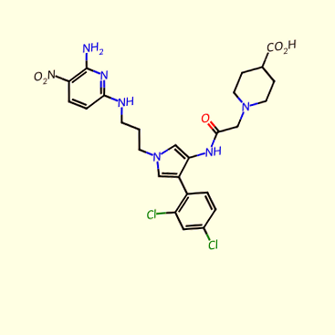 Nc1nc(NCCCn2cc(NC(=O)CN3CCC(C(=O)O)CC3)c(-c3ccc(Cl)cc3Cl)c2)ccc1[N+](=O)[O-]